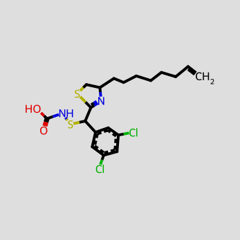 C=CCCCCCCC1CSC(C(SNC(=O)O)c2cc(Cl)cc(Cl)c2)=N1